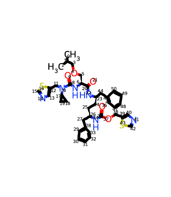 CC(C)COC[C@H](NC(=O)N(Cc1cncs1)C1CC1)C(=O)N[C@H](CC[C@H](Cc1ccccc1)NC(=O)OCc1cncs1)Cc1ccccc1